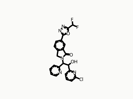 O=C1c2cc(-c3nnc(C(F)F)o3)ccc2CN1C(c1ccccn1)C(O)c1cccc(Cl)n1